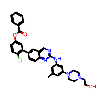 Cc1cc(Nc2ncc3cc(-c4cc(OC(=O)c5ccccc5)ccc4Cl)ccc3n2)cc(N2CCN(CCO)CC2)c1